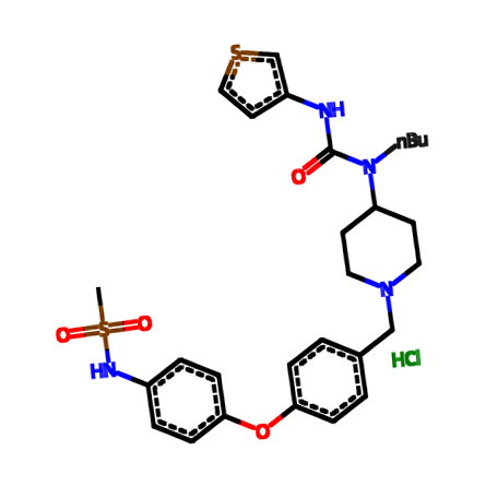 CCCCN(C(=O)Nc1ccsc1)C1CCN(Cc2ccc(Oc3ccc(NS(C)(=O)=O)cc3)cc2)CC1.Cl